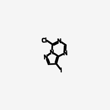 Clc1ncnc2c(I)cnn12